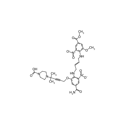 COC(=O)c1cc(OC)c(NCC=CCNc2c(OCC#CC(C)(C)N3CCN(C(=O)O)CC3)cc(C(N)=O)cc2[N+](=O)[O-])c([N+](=O)[O-])c1